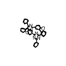 c1ccc(-c2nc(-c3ccccc3)nc(-c3cccc4oc5ccc(-c6nc(-c7ccccc7)c7c(n6)oc6ccccc67)cc5c34)n2)cc1